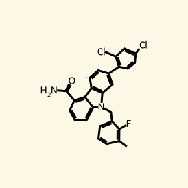 Cc1cccc(Cn2c3cc(-c4ccc(Cl)cc4Cl)c[c]c3c3c(C(N)=O)cccc32)c1F